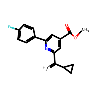 C=C(c1cc(C(=O)OC)cc(-c2ccc(F)cc2)n1)C1CC1